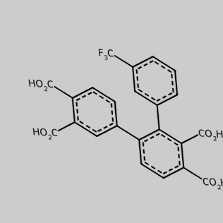 O=C(O)c1ccc(-c2ccc(C(=O)O)c(C(=O)O)c2-c2cccc(C(F)(F)F)c2)cc1C(=O)O